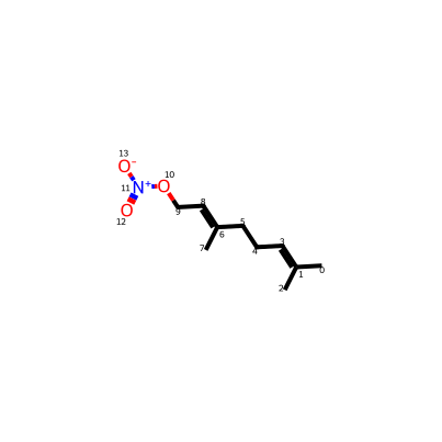 CC(C)=CCC/C(C)=C/CO[N+](=O)[O-]